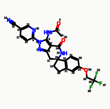 CC(=O)Nc1c2c(nn1-c1ccc(C#N)cn1)C[C@@]1(CCc3cc(OCC(F)(F)F)ccc31)NC2=O